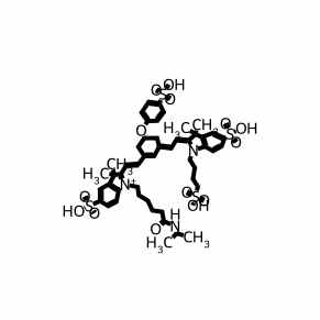 CC(C)NC(=O)CCCCC[N+]1=C(/C=C/C2=CC(=C/C=C3\N(CCCCS(=O)(=O)O)c4ccc(S(=O)(=O)O)cc4C3(C)C)/CC(Oc3ccc(S(=O)(=O)O)cc3)C2)C(C)(C)c2cc(S(=O)(=O)O)ccc21